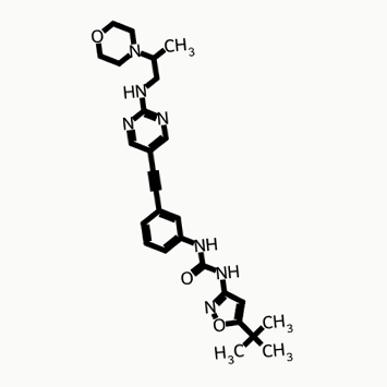 CC(CNc1ncc(C#Cc2cccc(NC(=O)Nc3cc(C(C)(C)C)on3)c2)cn1)N1CCOCC1